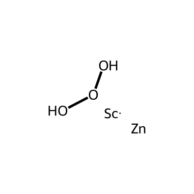 OOO.[Sc].[Zn]